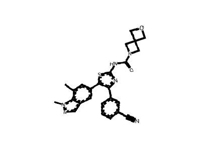 Cc1cc(-c2sc(NC(=O)N3CC4(COC4)C3)nc2-c2cccc(C#N)c2)cc2cnn(C)c12